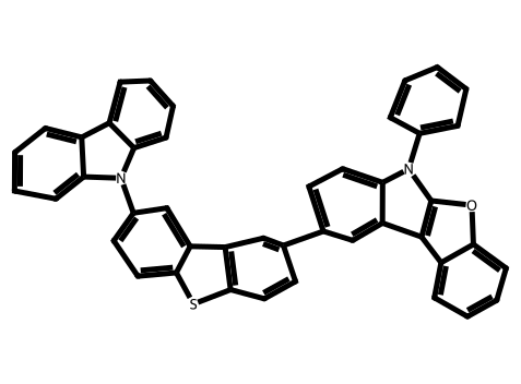 c1ccc(-n2c3ccc(-c4ccc5sc6ccc(-n7c8ccccc8c8ccccc87)cc6c5c4)cc3c3c4ccccc4oc32)cc1